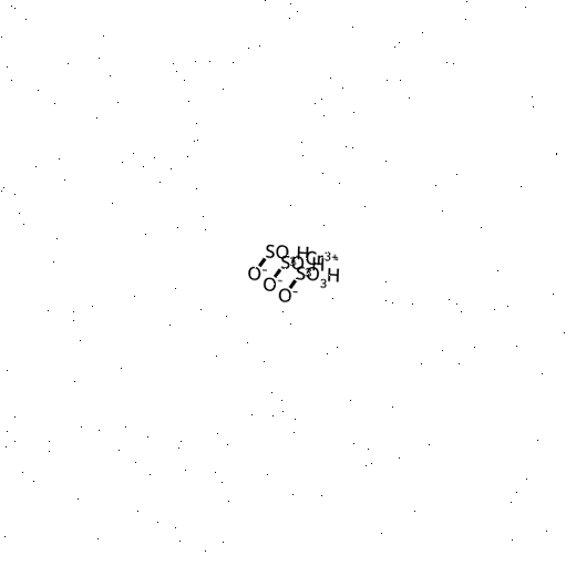 O=S(=O)([O-])O.O=S(=O)([O-])O.O=S(=O)([O-])O.[Cr+3]